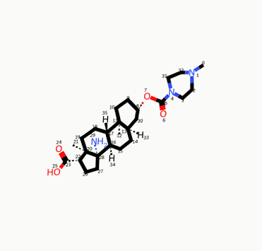 CN1CCN(C(=O)O[C@H]2CC[C@@]3(C)[C@H](CC[C@@H]4[C@@H]3CC[C@]3(C)[C@@H](C(=O)O)CC[C@]43N)C2)CC1